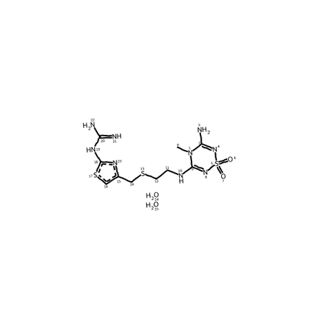 CN1C(N)=NS(=O)(=O)N=C1NCCSCc1csc(NC(=N)N)n1.O.O